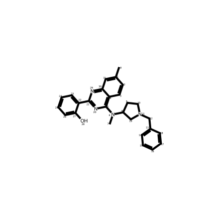 Cc1ccc2c(N(C)C3CCN(Cc4ccccc4)C3)nc(-c3ccccc3O)nc2c1